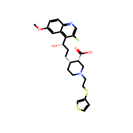 COc1ccc2ncc(F)c([C@@H](O)CC[C@H]3CCN(CCSc4ccsc4)C[C@H]3C(=O)O)c2c1